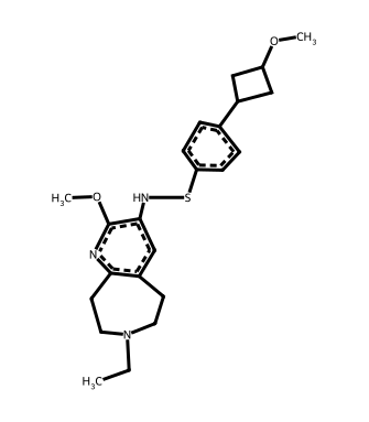 CCN1CCc2cc(NSc3ccc(C4CC(OC)C4)cc3)c(OC)nc2CC1